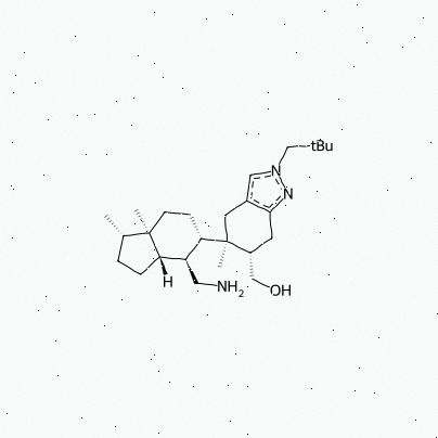 C[C@H]1CC[C@H]2[C@H](CN)[C@@H]([C@@]3(C)Cc4cn(CC(C)(C)C)nc4C[C@@H]3CO)CC[C@]12C